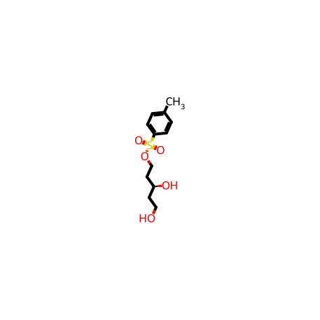 Cc1ccc(S(=O)(=O)OCC[C@@H](O)CCO)cc1